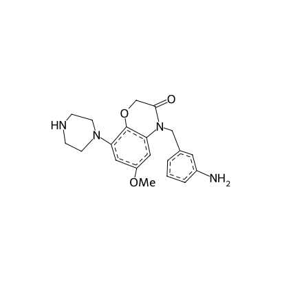 COc1cc(N2CCNCC2)c2c(c1)N(Cc1cccc(N)c1)C(=O)CO2